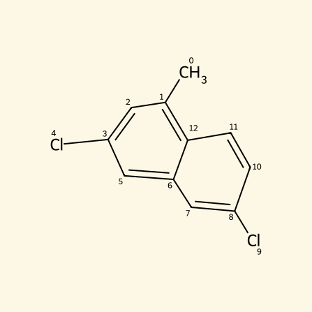 Cc1cc(Cl)cc2cc(Cl)ccc12